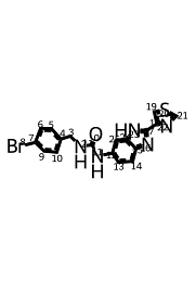 O=C(NCc1ccc(Br)cc1)Nc1ccc2nc(-c3cscn3)[nH]c2c1